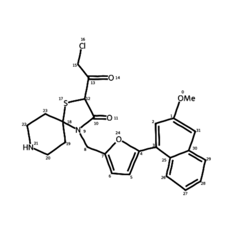 COc1cc(-c2ccc(CN3C(=O)C(C(=O)CCl)SC34CCNCC4)o2)c2ccccc2c1